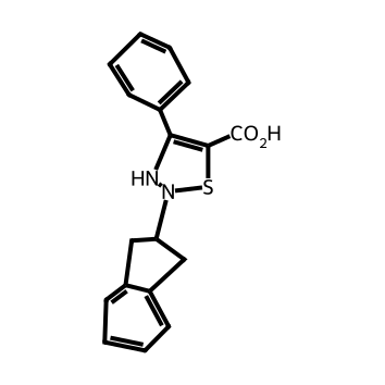 O=C(O)C1=C(c2ccccc2)NN(C2Cc3ccccc3C2)S1